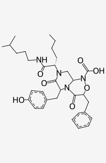 CCCC[C@@H](C(=O)NCCCC(C)C)N1CC2N(C(=O)O)OC(Cc3ccccc3)C(=O)N2C(Cc2ccc(O)cc2)C1=O